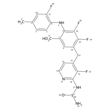 Cc1ccc(Nc2c(C(=O)O)cc(Cc3ccnc(N[S+](N)[O-])c3F)c(F)c2F)c(F)c1